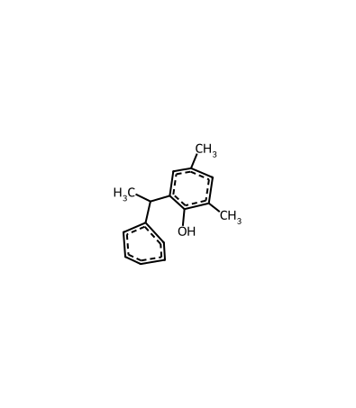 Cc1cc(C)c(O)c(C(C)c2ccccc2)c1